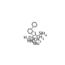 CC1=Cc2c(-c3ccccc3)cccc2[CH]1[Ti]([CH3])([CH3])[NH]C(C)(C)C.[SiH4]